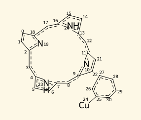 C1=Cc2cc3ccc(cc4nc(cc5ccc(cc1n2)[nH]5)C=C4)[nH]3.[Cu][c]1ccccc1